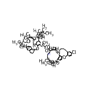 C=C[C@H]([C@H]1OC[C@H](N(C)C)CO1)[C@@H]1CC[C@H]1CN1C[C@@]2(CCCc3cc(Cl)ccc32)COc2c(CN(C)[C@H]3CO[C@H]([C@@H]4/C=C/C[C@H](C)[C@@H](C)S(=O)(=O)NC(=O)c5ccc6c(c5)N(CCCCc5cc(Cl)ccc5CO6)C[C@@H]5CC[C@H]54)OC3)cc(C(=O)NS(=O)(=O)[C@H](C)[C@@H](C)CC)cc21